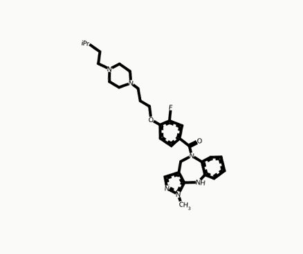 CC(C)CCN1CCN(CCCOc2ccc(C(=O)N3Cc4cnn(C)c4Nc4ccccc43)cc2F)CC1